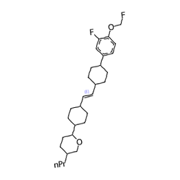 CCCC1CCC(C2CCC(/C=C/C3CCC(c4ccc(OCF)c(F)c4)CC3)CC2)OC1